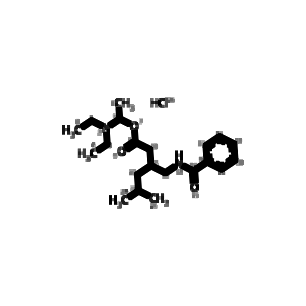 CCN(CC)C(C)OC(=O)CC(CNC(=O)c1ccccc1)CC(C)C.Cl